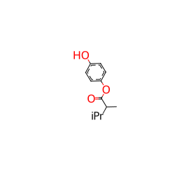 CC(C)C(C)C(=O)Oc1ccc(O)cc1